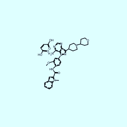 COc1cc(-n2nc(C3CCN(C4CCOCC4)CC3)c3ncnc(N)c32)ccc1NC(=O)c1cc2ccccc2n1C.O=C(O)/C=C\C(=O)O